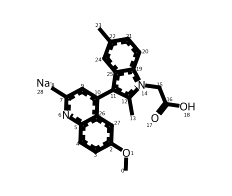 COc1ccc2nc(C)cc(-c3c(C)n(CC(=O)O)c4ccc(C)cc34)c2c1.[Na]